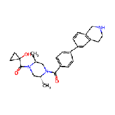 C[C@@H]1CN(C(=O)C2(O)CC2)[C@@H](C)CN1C(=O)c1ccc(-c2ccc3c(c2)CCNC3)cc1